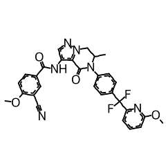 COc1cccc(C(F)(F)c2ccc(N3C(=O)c4c(NC(=O)c5ccc(OC)c(C#N)c5)cnn4CC3C)cc2)n1